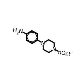 CCCCCCCCN1CCN(c2ccc(N)cc2)CC1